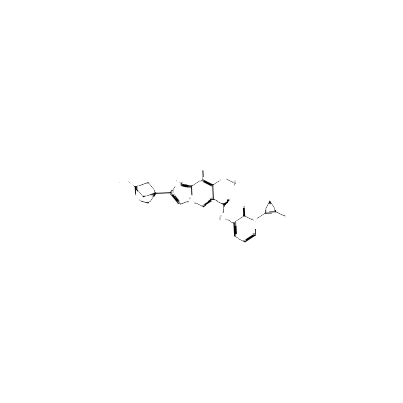 CC(C)Oc1c(C(=O)Nc2cccn(C3CC3F)c2=O)cn2cc(C34COC(C)(C3)C4)nc2c1F